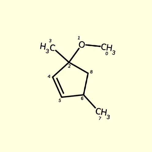 COC1(C)C=CC(C)C1